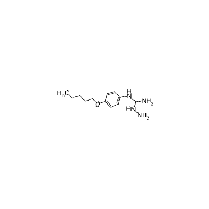 CCCCCOc1ccc(NC(N)NN)cc1